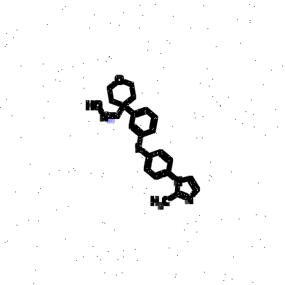 Cc1nccn1-c1ccc(Sc2cccc(C3(/C=N\O)CCOCC3)c2)cc1